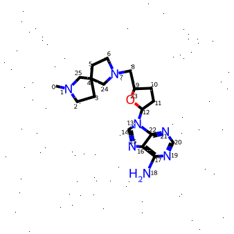 CN1CCC2(CCN(CC3CCC(n4cnc5c(N)ncnc54)O3)C2)C1